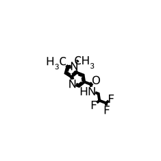 Cc1cc2ncc(C(=O)NCC(F)C(F)F)cc2n1C